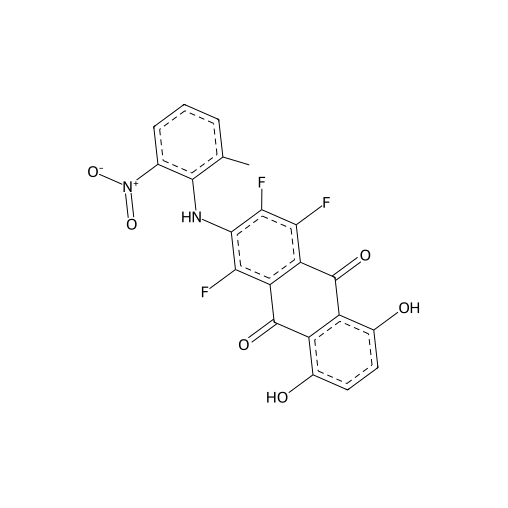 Cc1cccc([N+](=O)[O-])c1Nc1c(F)c(F)c2c(c1F)C(=O)c1c(O)ccc(O)c1C2=O